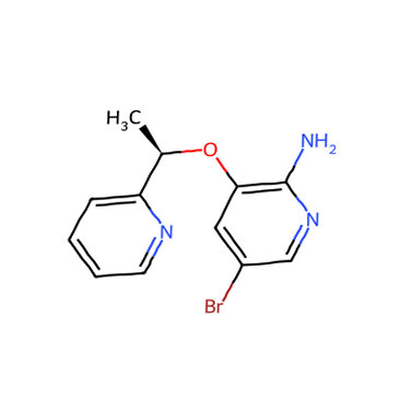 C[C@@H](Oc1cc(Br)cnc1N)c1ccccn1